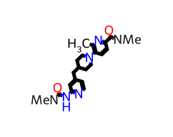 CNC(=O)Nc1cc(CC2CCN(c3ccc(C(=O)NC)nc3C)CC2)ccn1